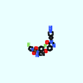 N#Cc1c(NS(=O)(=O)N2CCC(F)C2)ccc(F)c1Oc1ccc2ncn(C3CC4(CCNCC4)C3)c(=O)c2c1